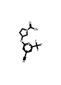 N#Cc1cc(OC2CCN(C(=O)O)C2)nc(C(F)(F)F)c1